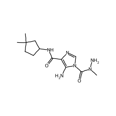 CN(N)C(=O)n1cnc(C(=O)NC2CCC(C)(C)C2)c1N